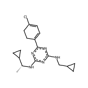 C[C@@H](Nc1nc(NCC2CC2)nc(C2=CC=C(Cl)CC2)n1)C1CC1